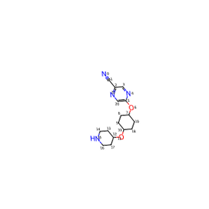 N#Cc1cnc(OC2CCC(OC3CCNCC3)CC2)cn1